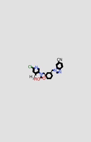 Cc1cc(Cl)ncc1N1C[C@@]2(CCC[C@H](Cn3cnc4ccc(C#N)cc43)C2)O[C@H]1O